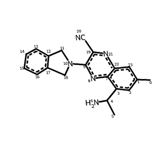 Cc1cc(C(C)N)c2nc(N3Cc4ccccc4C3)c(C#N)nc2c1